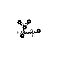 C[N+](CCCCCC(=O)NCCc1ccccc1)(CCc1ccc(OCc2ccccc2)c(OCc2ccccc2)c1)c1ccccc1